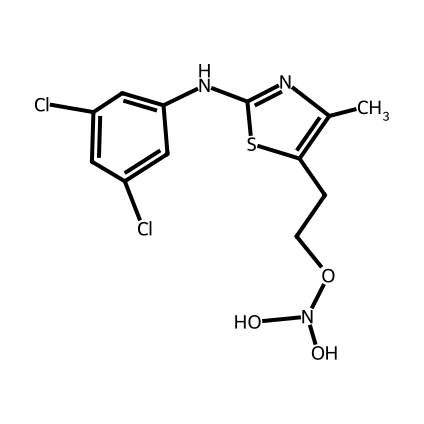 Cc1nc(Nc2cc(Cl)cc(Cl)c2)sc1CCON(O)O